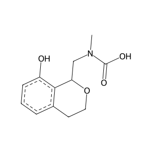 CN(CC1OCCc2cccc(O)c21)C(=O)O